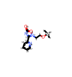 C[Si](C)(C)OCCn1oc(=O)nc1-c1ccccn1